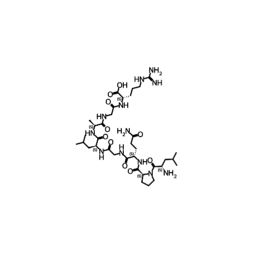 CC(C)C[C@H](NC(=O)CNC(=O)[C@H](CCC(N)=O)NC(=O)[C@@H]1CCCN1C(=O)[C@@H](N)CC(C)C)C(=O)N[C@@H](C)C(=O)NCC(=O)N[C@@H](CCCNC(=N)N)C(=O)O